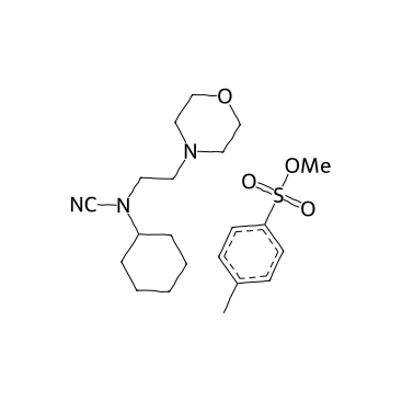 COS(=O)(=O)c1ccc(C)cc1.N#CN(CCN1CCOCC1)C1CCCCC1